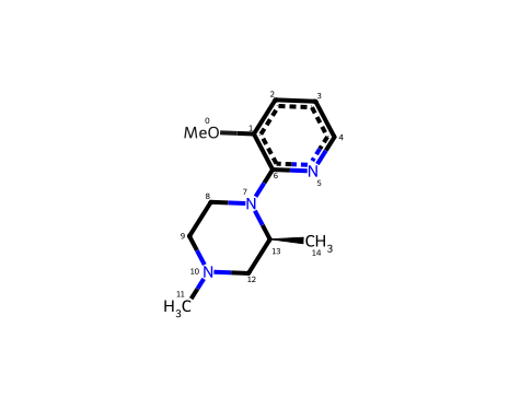 COc1cccnc1N1CCN(C)C[C@@H]1C